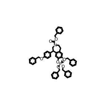 O=C(OCc1ccccc1)N1CCc2cc(OCc3ccccc3)c(OP(=O)(OCc3ccccc3)OCc3ccccc3)cc2C(c2ccc(OCc3ccccc3)cc2)C1